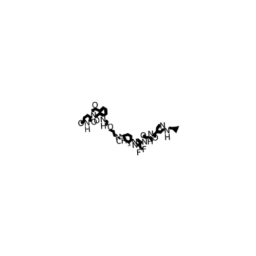 CN(CCCOCCNc1cccc2c1C(=O)N(C1CCC(=O)NC1=O)CC2=O)C[C@H]1CC[C@H](n2cc(NC(=O)c3coc(-c4ccnc(NCC5CC5)c4)n3)c(C(F)F)n2)CC1